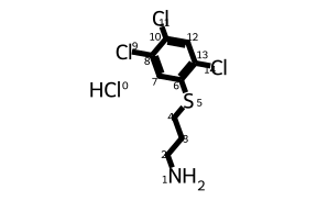 Cl.NCCCSc1cc(Cl)c(Cl)cc1Cl